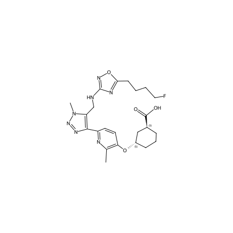 Cc1nc(-c2nnn(C)c2CNc2noc(CCCCF)n2)ccc1O[C@H]1CCC[C@H](C(=O)O)C1